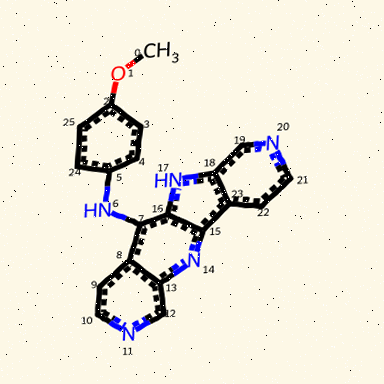 COc1ccc(Nc2c3ccncc3nc3c2[nH]c2cnccc23)cc1